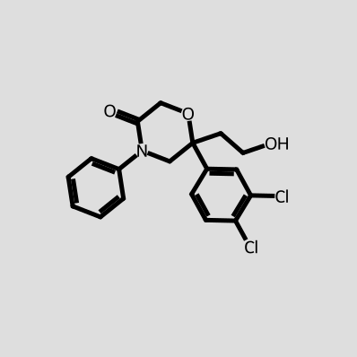 O=C1COC(CCO)(c2ccc(Cl)c(Cl)c2)CN1c1ccccc1